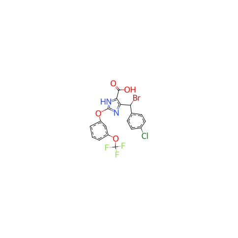 O=C(O)c1[nH]c(Oc2cccc(OC(F)(F)F)c2)nc1C(Br)c1ccc(Cl)cc1